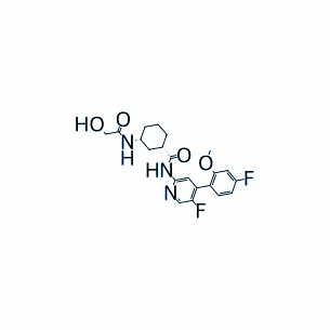 COc1cc(F)ccc1-c1cc(NC(=O)[C@H]2CCC[C@@H](NC(=O)CO)C2)ncc1F